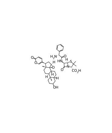 CC1(C)S[C@@H]2[C@H](NC(=O)[C@H](N)c3ccccc3)C(=O)N2[C@H]1C(=O)O.C[C@]12CC[C@H](O)C[C@H]1CC[C@@H]1[C@@H]2CC[C@]2(C)[C@@H](c3ccc(=O)oc3)C[C@H]3O[C@]132